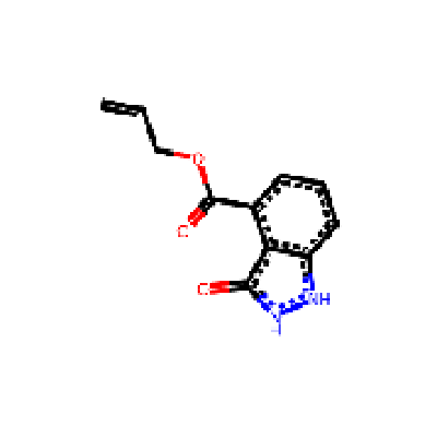 C=CCOC(=O)c1cccc2[nH][nH]c(=O)c12